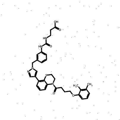 Cc1cccc(OCCCC(=O)N2CCSc3c(-c4cnn(Cc5cccc(NC(=O)NCCC(=O)O)c5)c4)cccc32)c1C